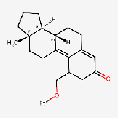 CCOCC1CC(=O)C=C2CC[C@@H]3C(=C21)CC[C@]1(C)CCC[C@@H]31